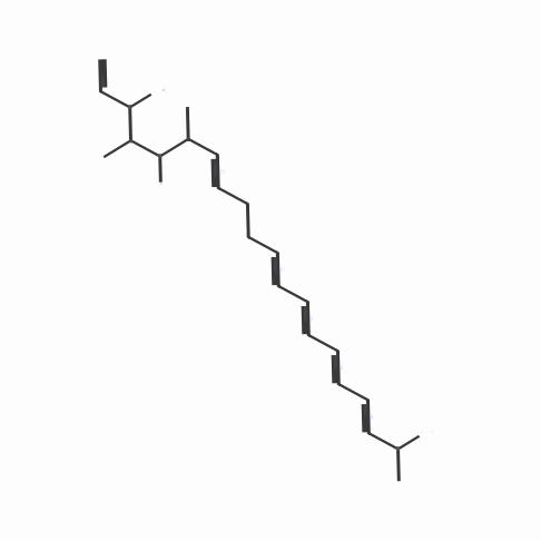 C=CC(O)C(C)C(O)C(C)/C=C/CC/C=C/C=C/C=C/C=C/C(C)O